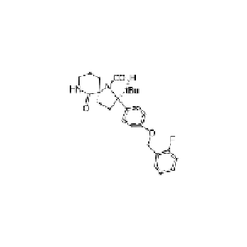 CC(C)(C)[C@]1(c2ccc(OCc3ccccc3F)cc2)CC[C@]2(CCCNC2=O)N1C(=O)O